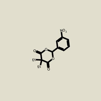 CCC1(CC)C(=O)OC(c2cccc([N+](=O)[O-])c2)OC1=O